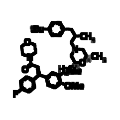 CC(Cc1ccc(C(C)(C)C)cc1)CN1C[C@@H](C)O[C@@H](C)C1.COc1ccc(C(=CC(=O)N2CCOCC2)c2ccc(F)cc2)cc1OC